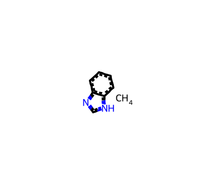 C.c1ccc2[nH]cnc2c1